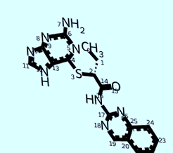 CC[C@@H](Sc1nc(N)nc2nc[nH]c12)C(=O)Nc1ncc2ccccc2n1